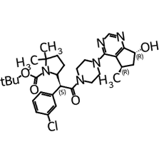 C[C@@H]1C[C@@H](O)c2ncnc(N3CCN(C(=O)[C@@H](c4cccc(Cl)c4)C4CCC(C)(C)N4C(=O)OC(C)(C)C)CC3)c21